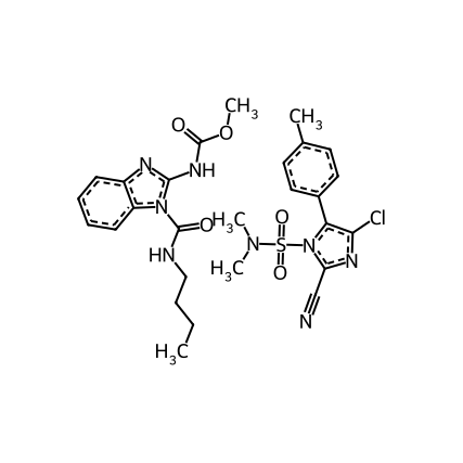 CCCCNC(=O)n1c(NC(=O)OC)nc2ccccc21.Cc1ccc(-c2c(Cl)nc(C#N)n2S(=O)(=O)N(C)C)cc1